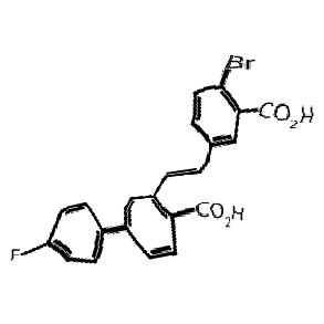 O=C(O)c1cc(C=Cc2cc(-c3ccc(F)cc3)ccc2C(=O)O)ccc1Br